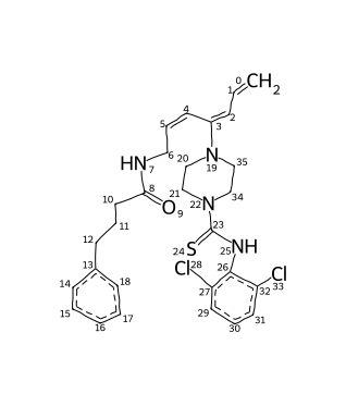 C=C/C=C(\C=C/CNC(=O)CCCc1ccccc1)N1CCN(C(=S)Nc2c(Cl)cccc2Cl)CC1